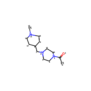 CCC(=O)N1CCN(CC2CCN(CC)CC2)CC1